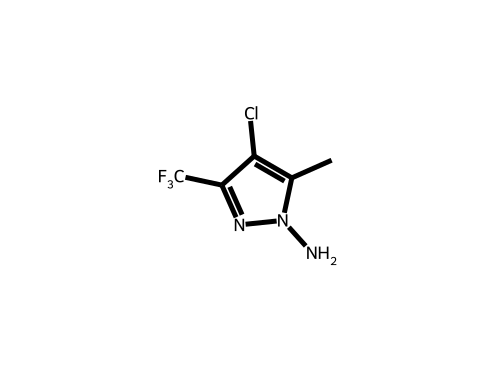 Cc1c(Cl)c(C(F)(F)F)nn1N